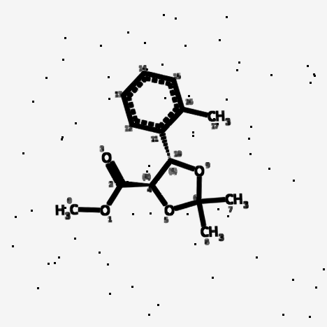 COC(=O)[C@@H]1OC(C)(C)O[C@H]1c1ccccc1C